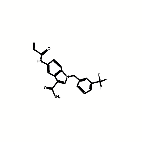 C=CC(=O)Nc1ccc2c(c1)c(C(N)=O)cn2Cc1cccc(C(F)(F)F)c1